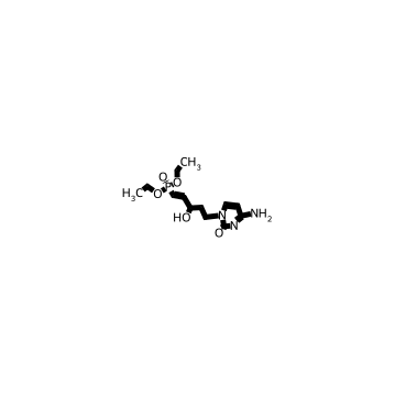 CCOP(=O)(C=CC(O)CCn1ccc(N)nc1=O)OCC